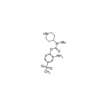 CC(C)(C)N(C(=O)Oc1ccc(S(C)(=O)=O)cc1N)C1CCNCC1